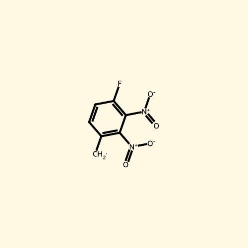 [CH2]c1ccc(F)c([N+](=O)[O-])c1[N+](=O)[O-]